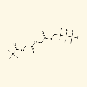 CC(C)(C)C(=O)OCC(=O)OCC(=O)OCC(F)(F)C(F)(F)C(F)(F)F